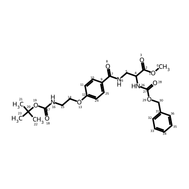 COC(=O)C(CNC(=O)c1ccc(OCCNC(=O)OC(C)(C)C)cc1)NC(=O)OCc1ccccc1